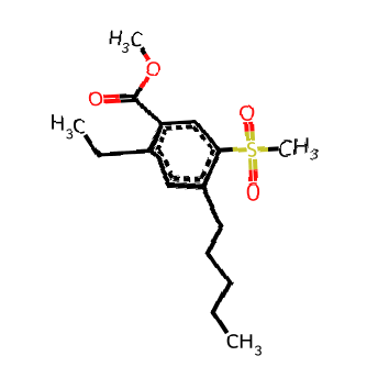 CCCCCc1cc(CC)c(C(=O)OC)cc1S(C)(=O)=O